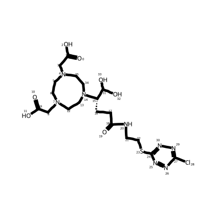 O=C(O)CN1CCN(CC(=O)O)CCN([C@@H](CCC(=O)NCCSc2nnc(Cl)nn2)C(O)O)CC1